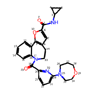 O=C(NC1CC1)c1cc2c(o1)-c1ccccc1N(C(=O)c1cccc(N3CCCOCC3)n1)CC2